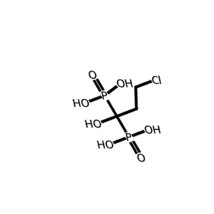 O=P(O)(O)C(O)(CCCl)P(=O)(O)O